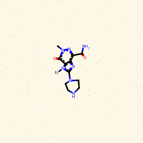 CCn1c(N2CCNCC2)nc2c(C(N)=O)nn(C)c(=O)c21